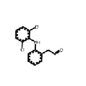 O=[C]Cc1ccccc1Nc1c(Cl)cccc1Cl